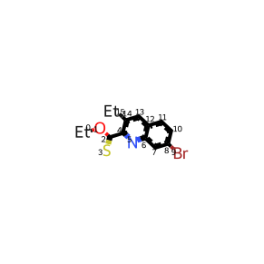 CCOC(=S)c1nc2cc(Br)ccc2cc1CC